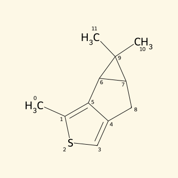 Cc1scc2c1C1C(C2)C1(C)C